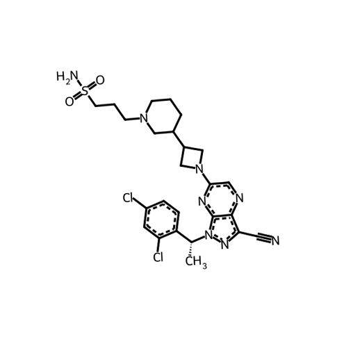 C[C@H](c1ccc(Cl)cc1Cl)n1nc(C#N)c2ncc(N3CC(C4CCCN(CCCS(N)(=O)=O)C4)C3)nc21